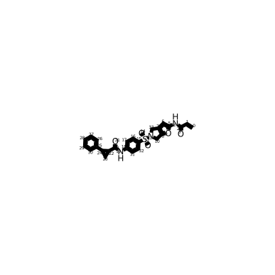 C=CC(=O)Nc1cc2c(o1)CN(S(=O)(=O)c1ccc(NC(=O)C3CC3c3ccccc3)cc1)C2